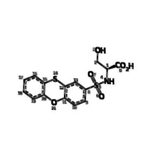 O=C(O)[C@H](CO)NS(=O)(=O)c1ccc2c(c1)Sc1ccccc1O2